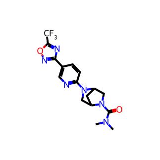 CN(C)C(=O)N1CC2CC1CN2c1ccc(-c2noc(C(F)(F)F)n2)cn1